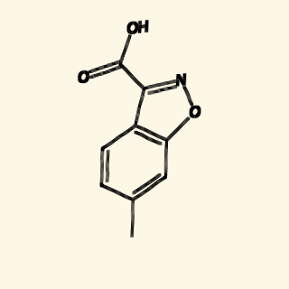 Cc1ccc2c(C(=O)O)noc2c1